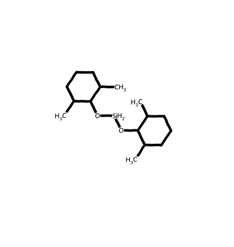 CC1CCCC(C)C1O[SiH2]OC1C(C)CCCC1C